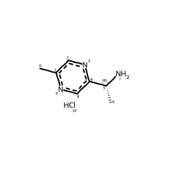 Cc1cnc([C@@H](C)N)cn1.Cl